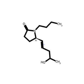 CCCCN1C(=O)CC[C@@H]1/C=C/CC(C)O